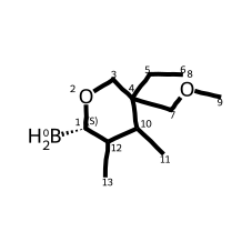 B[C@@H]1OCC(CC)(COC)C(C)C1C